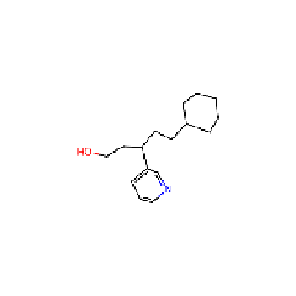 OCCC(CCC1CCCCC1)c1cccnc1